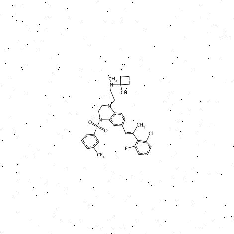 C/C(=C\c1ccc2c(c1)N(S(=O)(=O)c1cccc(C(F)(F)F)c1)CCN2CCN(C)C1(C#N)CCC1)c1c(F)cccc1Cl